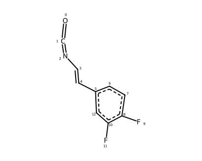 O=C=NC=Cc1ccc(F)c(F)c1